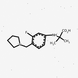 CC(C)(Nc1ccc(CN2CCCC2)c(F)c1)C(=O)O